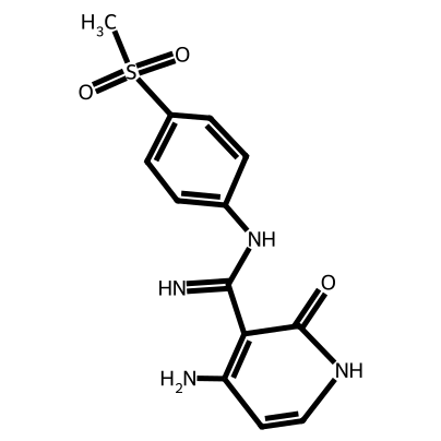 CS(=O)(=O)c1ccc(NC(=N)c2c(N)cc[nH]c2=O)cc1